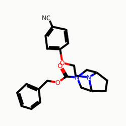 N#Cc1ccc(OCCN2C3CCC2CN(C(=O)OCc2ccccc2)C3)cc1